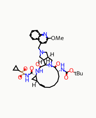 COc1cc(CN2C[C@H]3CN4C(=O)[C@H](NC(=O)OC(C)(C)C)CCCC/C=C\[C@@H]5C[C@@]5(C(=O)NS(=O)(=O)C5CC5)NC(=O)[C@@H]4[C@H]3C2)c2ccccc2n1